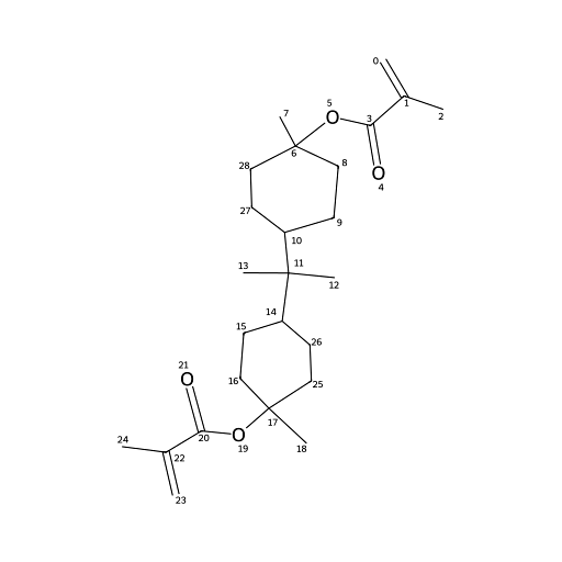 C=C(C)C(=O)OC1(C)CCC(C(C)(C)C2CCC(C)(OC(=O)C(=C)C)CC2)CC1